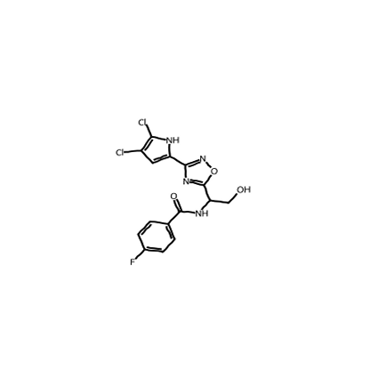 O=C(NC(CO)c1nc(-c2cc(Cl)c(Cl)[nH]2)no1)c1ccc(F)cc1